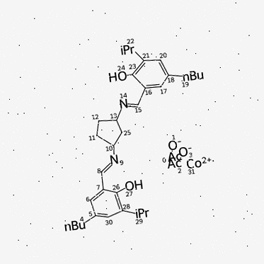 CC(=O)[O-].CC(=O)[O-].CCCCc1cc(C=NC2CCC(N=Cc3cc(CCCC)cc(C(C)C)c3O)C2)c(O)c(C(C)C)c1.[Co+2]